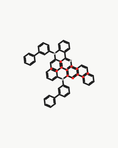 c1ccc(-c2cccc(N(c3cccc(-c4ccccc4)c3)c3ccccc3-c3nc(-c4ccccc4)nc(-c4ccccc4N(c4cccc(-c5ccccc5)c4)c4cccc(-c5ccccc5)c4)n3)c2)cc1